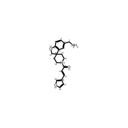 NCc1ccc2c(c1)C1(CCN(C(=O)/C=C/c3ccoc3)CC1)CO2